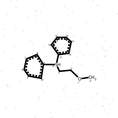 COCC[SH](c1ccccc1)c1ccccc1